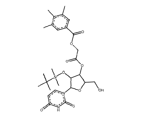 Cc1cc(C(=O)OCC(=O)OC2C(CO)OC(n3ccc(=O)[nH]c3=O)C2O[Si](C)(C)C(C)(C)C)cc(C)c1C